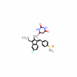 CC1=C(CC(=O)O)c2cc(F)ccc2/C1=C\c1ccc([S+](C)[O-])cc1.O=C1CC(=O)NC(=O)N1